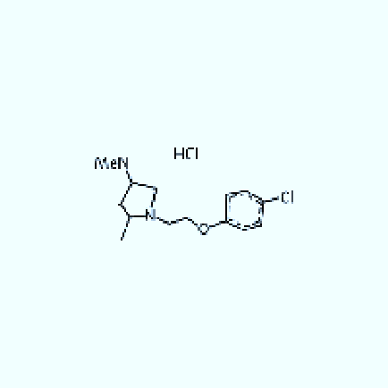 CNC1CC(C)N(CCOc2ccc(Cl)cc2)C1.Cl